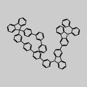 c1ccc(-c2cccc(-c3ccc(C4(c5cccc(-c6ccc(-c7ccc(-c8cccc(-n9c%10ccccc%10c%10cc(-c%11ccc%12c(c%11)c%11ccccc%11n%12-c%11ccccc%11-c%11ccccc%11)ccc%109)c8)cc7)cc6)c5)c5ccccc5-c5ccccc54)cc3)c2)cc1